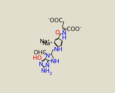 Nc1nc(O)c2c(n1)NCC(CNc1ccc(C(=O)N[C@@H](CCC(=O)[O-])C(=O)[O-])cc1)N2C=O.[Na+].[Na+]